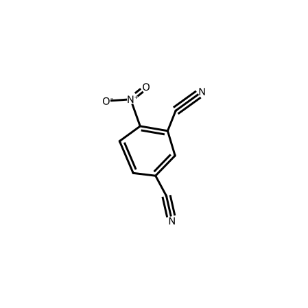 N#Cc1ccc([N+](=O)[O-])c(C#N)c1